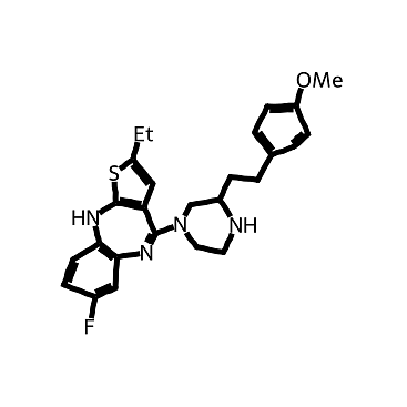 CCc1cc2c(s1)Nc1ccc(F)cc1N=C2N1CCNC(CCc2ccc(OC)cc2)C1